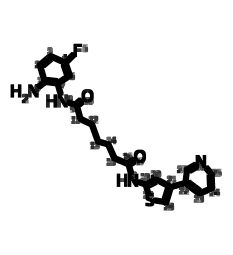 Nc1ccc(F)cc1NC(=O)CCCCCC(=O)Nc1cc(-c2cccnc2)cs1